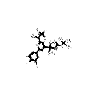 CC(C)(C)OC(=O)NC(C)(C)c1cc(-c2ccc(F)c(Cl)c2)nc(C(O)C(F)(F)F)c1